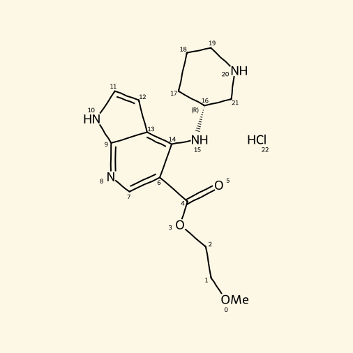 COCCOC(=O)c1cnc2[nH]ccc2c1N[C@@H]1CCCNC1.Cl